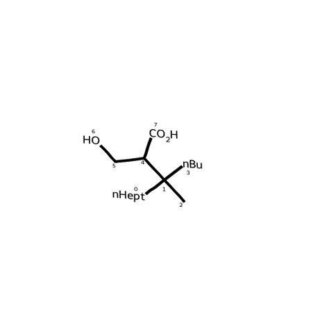 CCCCCCCC(C)(CCCC)C(CO)C(=O)O